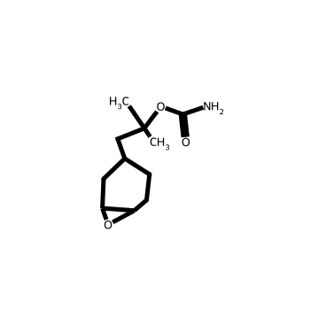 CC(C)(CC1CCC2OC2C1)OC(N)=O